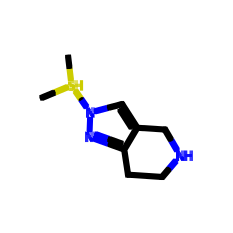 C[SH](C)n1cc2c(n1)CCNC2